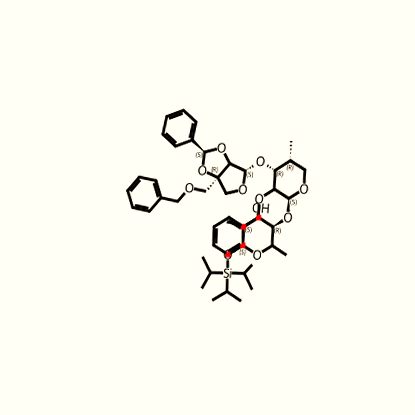 CC1O[C@@H](O[Si](C(C)C)(C(C)C)C(C)C)[C@@H](C)C(O)[C@H]1O[C@@H]1OC[C@@H](C)[C@@H](O[C@@H]2OC[C@@]3(COCc4ccccc4)O[C@@H](c4ccccc4)OC23)C1OCc1ccccc1